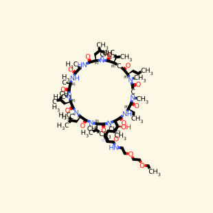 CCC[C@@H]1C(=O)C[C@H](C(C)C)C(=O)N(C)[C@H](CC(C)C)C(=O)N[C@H](C)C(=O)N[C@H](C)C(=O)N(C)[C@H](CC(C)C)C(=O)N(C)[C@H](CC(C)C)C(=O)N(C)[C@H](C(C)C)C(=O)N(C)C([C@@H](O)[C@@H](C)C/C=C\C(=O)NCCOCCOCC)C(=O)N[C@H](CC)C(=O)N(C)CC(=O)N1C